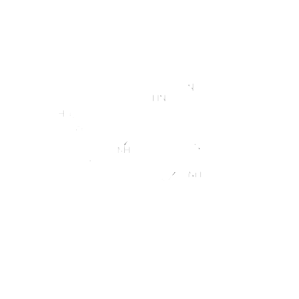 COC[C@@H](C)N[C@H]1CC[C@H](Nc2cc(-c3nc(NC[C@@H]4CCCCO4)ccc3Cl)c(Cl)cn2)CC1